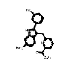 COC(=O)c1cccc(Cc2c(-c3cccc(C#N)c3)[nH]c3cc(OC)ccc23)n1